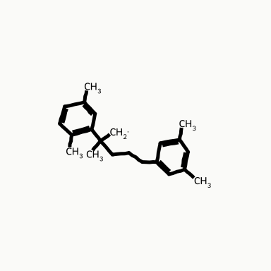 [CH2]C(C)(CCCc1cc(C)cc(C)c1)c1cc(C)ccc1C